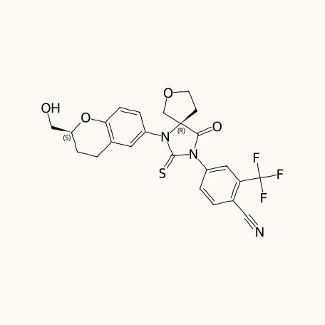 N#Cc1ccc(N2C(=O)[C@]3(CCOC3)N(c3ccc4c(c3)CC[C@@H](CO)O4)C2=S)cc1C(F)(F)F